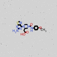 COc1ccc(NC(=O)N2CCN(c3nc(N)nc4scnc34)C(CC(=O)O)C2)cc1